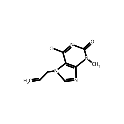 C=CCn1cnc2c1c(Cl)nc(=O)n2C